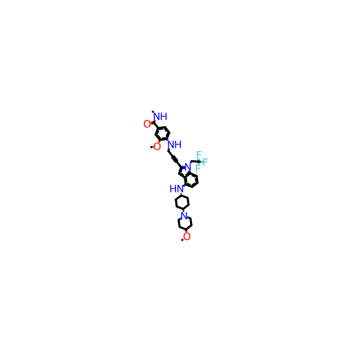 CNC(=O)c1ccc(NCC#Cc2cc3c(N[C@H]4CC[C@H](N5CCC(OC)CC5)CC4)cccc3n2CC(F)(F)F)c(OC)c1